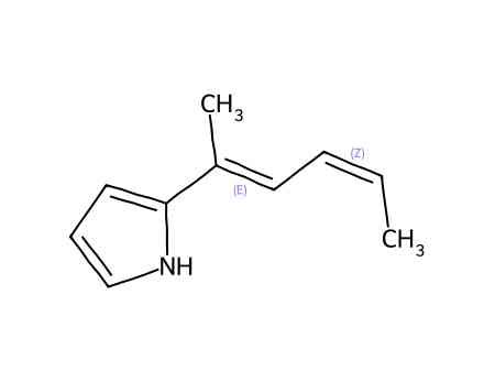 C/C=C\C=C(/C)c1ccc[nH]1